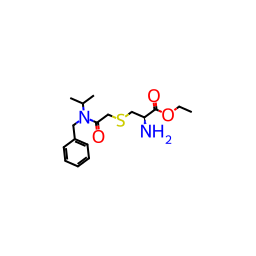 CCOC(=O)[C@@H](N)CSCC(=O)N(Cc1ccccc1)C(C)C